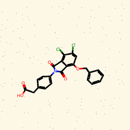 O=C(O)Cc1ccc(N2C(=O)c3c(OCc4ccccc4)cc(Cl)c(Cl)c3C2=O)cc1